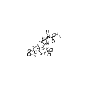 COC(=O)/C=C\C1CCC2C(C1c1csc(NC(C)=O)n1)C2(Cl)Cl